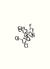 COc1ccc(-c2c(S(=O)(=O)c3cc(Cl)cc(Cl)c3)cnc3ccc(F)cc23)cc1